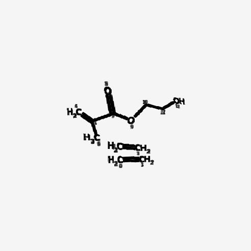 C=C.C=C.C=C(C)C(=O)OCCO